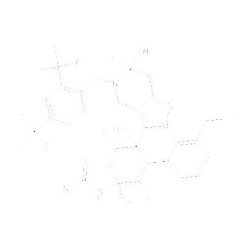 CCc1cccc2c1-n1nc3c(c1C1(C)C(F)=CC(C)(NC(N)=O)C(F)=C21)CN(Cc1ccc(C(F)(F)F)cc1C(F)(F)F)C(C)(C)C3